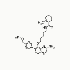 CCCOCc1ncc(-c2ccc3ncc(N)nc3c2OCCCCCNC(=O)[C@@H]2CCCCN2C)cn1